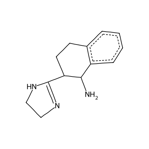 NC1c2ccccc2CCC1C1=NCCN1